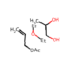 C=CCOC(C)=O.CC(O)CO.CCOCC